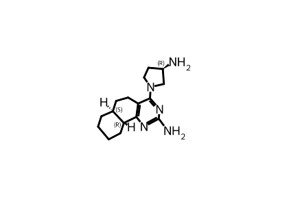 Nc1nc2c(c(N3CC[C@@H](N)C3)n1)CC[C@@H]1CCCC[C@@H]21